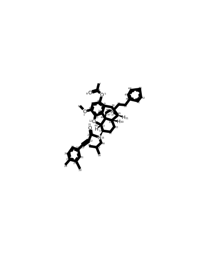 COc1cc(OC(C)=O)c2c3c1O[C@H]1[C@H](N(CC(C)C)C(=O)C#Cc4ccc(C)c(C)c4)CC[C@H]4[C@@H](C2)N(CCc2ccccc2)CC[C@@]341